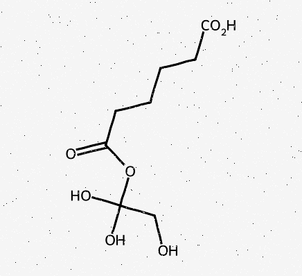 O=C(O)CCCCC(=O)OC(O)(O)CO